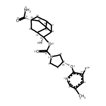 Cc1cnc(O[C@@H]2CCN(C(=O)O[C@H]3C4CC5CC3C[C@](C(N)=O)(C5)C4)C2)c(F)c1